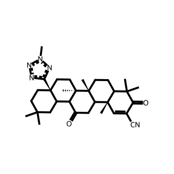 Cn1nnc([C@]23CCC(C)(C)CC2C2C(=O)CC4[C@@]5(C)C=C(C#N)C(=O)C(C)(C)C5CC[C@@]4(C)[C@]2(C)CC3)n1